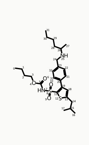 CCCCOC(=O)NS(=O)(=O)c1sc(CC(C)C)cc1-c1ccc(CNC(C)CCCC)cc1